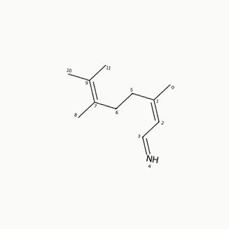 CC(=CC=N)CCC(C)=C(C)C